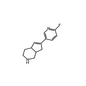 Fc1ccc(C2=CC3CCNCC3C2)cn1